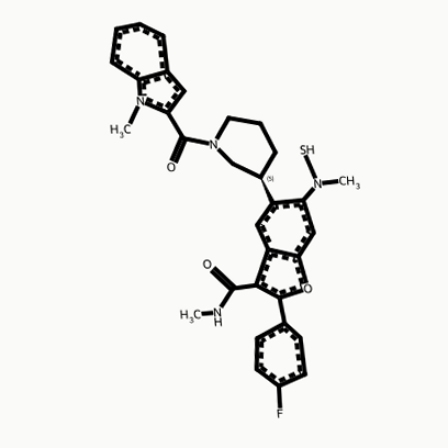 CNC(=O)c1c(-c2ccc(F)cc2)oc2cc(N(C)S)c([C@@H]3CCCN(C(=O)c4cc5ccccc5n4C)C3)cc12